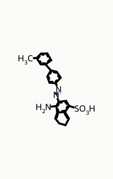 Cc1cccc(-c2ccc(/N=N/c3cc(S(=O)(=O)O)c4c(c3N)=CCCC=4)cc2)c1